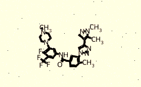 Cc1ccc(C(=O)Nc2cc(N3CCN(C)CC3)c(F)c(C(F)(F)F)c2)cc1-n1cc(-c2cnn(C)c2C)nn1